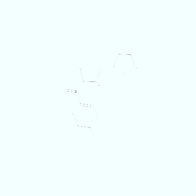 O=C(c1ccc(F)cc1)C1CSC([C@@H]2CCCN2)=N1